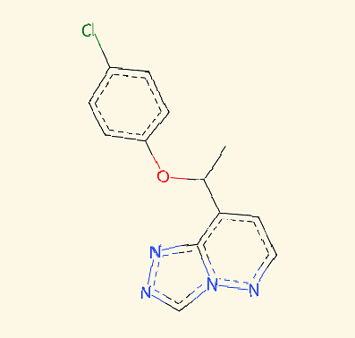 CC(Oc1ccc(Cl)cc1)c1ccnn2cnnc12